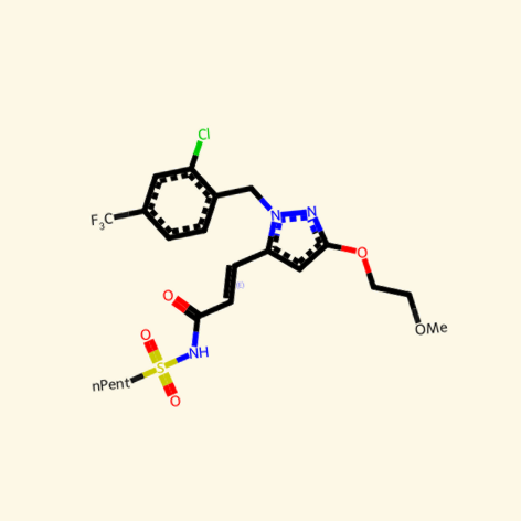 CCCCCS(=O)(=O)NC(=O)/C=C/c1cc(OCCOC)nn1Cc1ccc(C(F)(F)F)cc1Cl